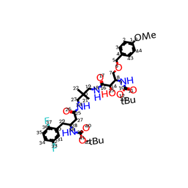 COc1ccc(COCC(NC(=O)OC(C)(C)C)C(O)C(=O)NCC(C)(C)CNC(=O)CC(Cc2cc(F)ccc2F)NC(=O)OC(C)(C)C)cc1